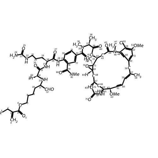 C=C(CBr)C(=O)OCCCCC(C=O)N[C@H](C(=O)N[C@@H](CCCNC(N)=O)C(=O)Nc1ccc(C(=O)N(C)[C@@H](C)C(=O)O[C@H]2CC(=O)N(C)c3cc(cc(OC)c3Cl)C/C(C)=C/C=C/[C@@H](OC)[C@@]3(O)C[C@@H](C[C@@H]4O[C@@]24C)OC(=O)N3)cc1C(=O)NC)C(C)C